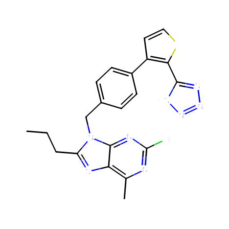 CCCc1nc2c(C)nc(Cl)nc2n1Cc1ccc(-c2ccsc2-c2nnn[nH]2)cc1